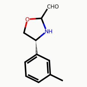 Cc1cccc([C@@H]2COC(C=O)N2)c1